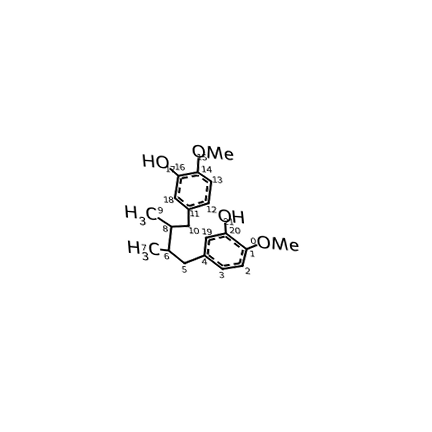 COc1ccc(CC(C)C(C)Cc2ccc(OC)c(O)c2)cc1O